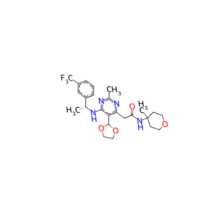 Cc1nc(CC(=O)NC2(C)CCOCC2)c(C2OCCO2)c(N[C@H](C)c2cccc(C(F)(F)F)c2)n1